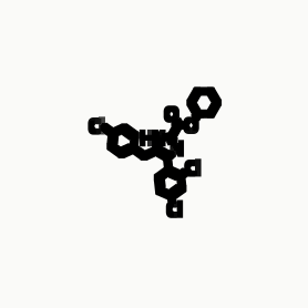 O=C(OC1CCCCC1)c1nc(-c2ccc(Cl)cc2Cl)c(Cc2ccc(Cl)cc2)[nH]1